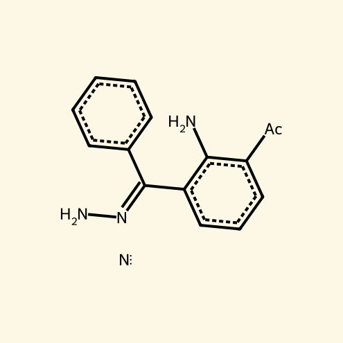 CC(=O)c1cccc(C(=NN)c2ccccc2)c1N.[N]